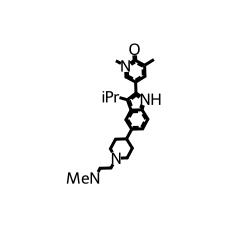 CNCCN1CCC(c2ccc3[nH]c(-c4cc(C)c(=O)n(C)c4)c(C(C)C)c3c2)CC1